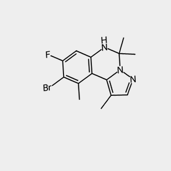 Cc1cnn2c1-c1c(cc(F)c(Br)c1C)NC2(C)C